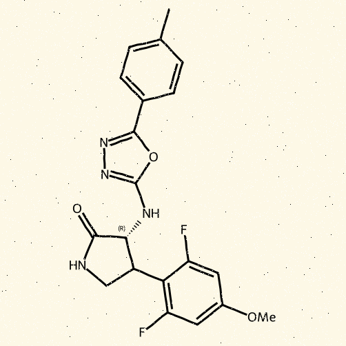 COc1cc(F)c(C2CNC(=O)[C@@H]2Nc2nnc(-c3ccc(C)cc3)o2)c(F)c1